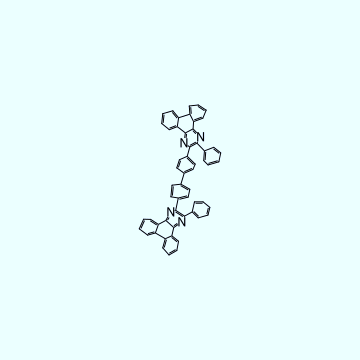 c1ccc(-c2nc3c4ccccc4c4ccccc4c3nc2-c2ccc(-c3ccc(-c4nc5c6ccccc6c6ccccc6c5nc4-c4ccccc4)cc3)cc2)cc1